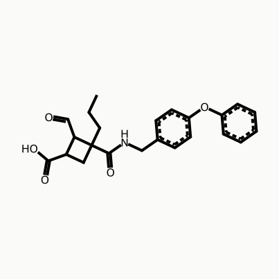 CCCC1(C(=O)NCc2ccc(Oc3ccccc3)cc2)CC(C(=O)O)C1C=O